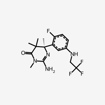 CN1C(=O)C(C)(C)[C@@](C)(c2cc(NCC(F)(F)F)ccc2F)N=C1N